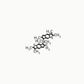 CC1=C([Si](C)(C)C2=C(C)C=C3C=C4C(C)=C(C)SC4C=C32)C2=CC3SC(C)=C(C)C3=CC2=C1